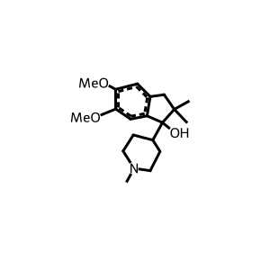 COc1cc2c(cc1OC)C(O)(C1CCN(C)CC1)C(C)(C)C2